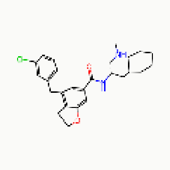 CNC[C@H](CC1CCCCC1)NC(=O)c1cc(Cc2cccc(Cl)c2)c2c(c1)OCC2